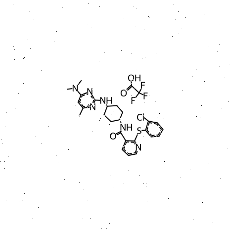 Cc1cc(N(C)C)nc(N[C@H]2CC[C@@H](NC(=O)c3cccnc3Sc3ccccc3Cl)CC2)n1.O=C(O)C(F)(F)F